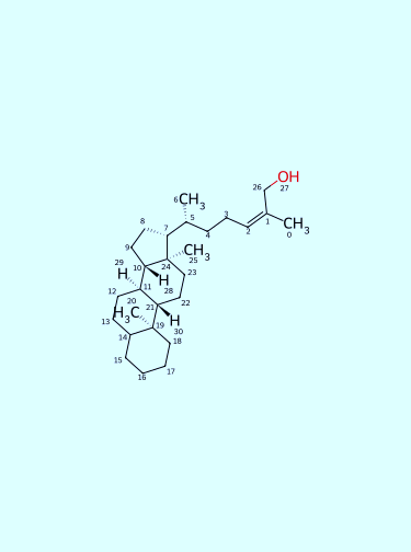 CC(=CCC[C@@H](C)[C@H]1CC[C@H]2[C@@H]3CCC4CCCC[C@]4(C)[C@H]3CC[C@]12C)CO